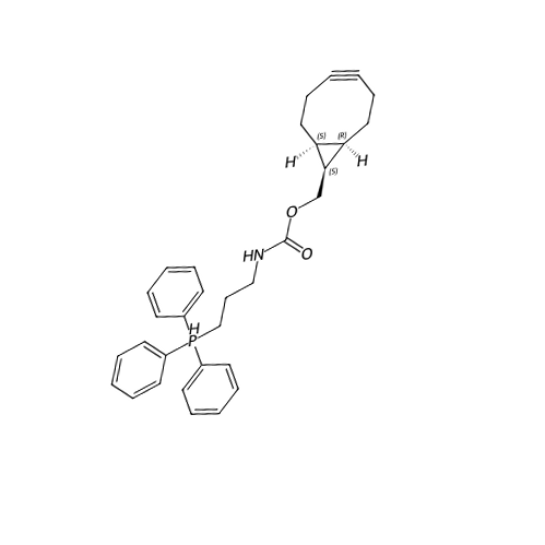 O=C(NCCC[PH](c1ccccc1)(c1ccccc1)c1ccccc1)OC[C@@H]1[C@@H]2CCC#CCC[C@@H]21